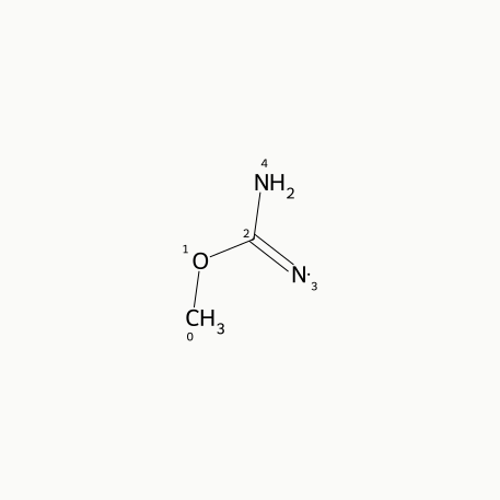 COC(=[N])N